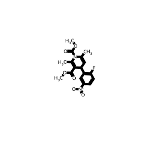 COC(=O)C1=C(C)N(C(=O)OC)C(C)=CC1c1cc([N+](=O)[O-])ccc1F